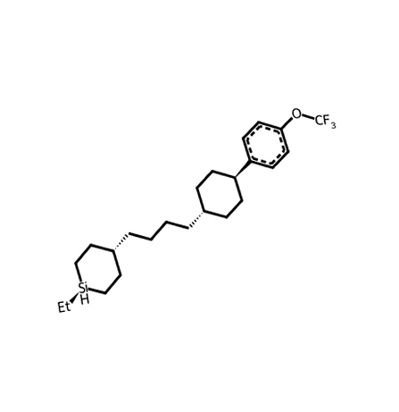 CC[Si@H]1CC[C@H](CCCC[C@H]2CC[C@H](c3ccc(OC(F)(F)F)cc3)CC2)CC1